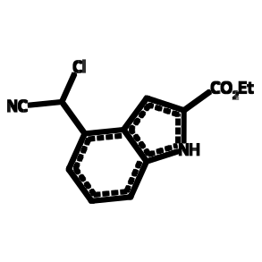 CCOC(=O)c1cc2c(C(Cl)C#N)cccc2[nH]1